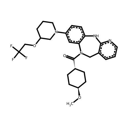 CO[C@H]1CC[C@H](C(=O)N2Cc3cccnc3Nc3ccc(N4CCCC(OCC(F)(F)F)C4)cc32)CC1